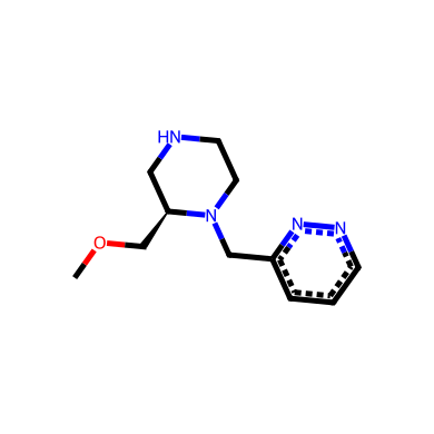 COC[C@H]1CNCCN1Cc1cccnn1